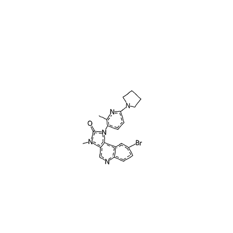 Cc1nc(N2CCCC2)ccc1-n1c(=O)n(C)c2cnc3ccc(Br)cc3c21